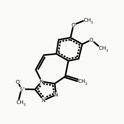 C=C1c2cc(OC)c(OC)cc2C=Cn2c1nnc2[S+](C)[O-]